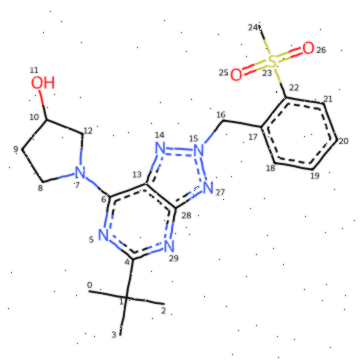 CC(C)(C)c1nc(N2CCC(O)C2)c2nn(Cc3ccccc3S(C)(=O)=O)nc2n1